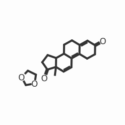 C1COCO1.CC12C=CC3=C4CCC(=O)C=C4CCC3C1CCC2=O